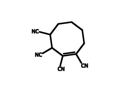 N#C/C1=C(\C#N)C(C#N)C(C#N)CCCC1